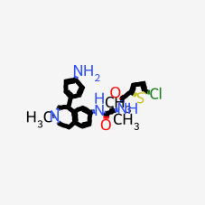 CN1CCc2ccc(NC(=O)C(C)(C)NC(=O)c3ccc(Cl)s3)cc2C(c2ccc(N)cc2)C1